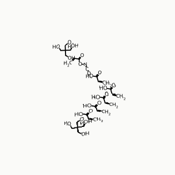 C=CC(=O)O.C=CC(=O)O.C=CC(=O)O.C=CC(=O)O.C=CC(=O)O.C=CC(=O)ON=C=O.OCC(CO)(CO)CO.OCC(CO)(CO)CO